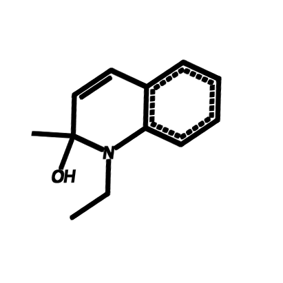 CCN1c2ccccc2C=CC1(C)O